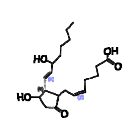 CCCCCC(O)/C=C/[C@H]1C(O)CC(=O)C1C/C=C\CCCC(=O)O